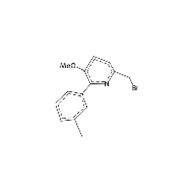 COc1ccc(CBr)nc1-c1cccc(C)c1